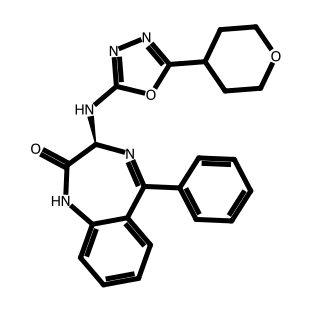 O=C1Nc2ccccc2C(c2ccccc2)=N[C@@H]1Nc1nnc(C2CCOCC2)o1